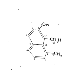 Cc1cccc2ccc(O)c(C(=O)O)c12